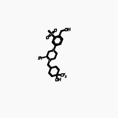 CC(C)[C@H]1CN(c2ccc(CO)c(S(C)(=O)=O)c2)CCN1CC1CCC(O)(C(F)(F)F)CC1